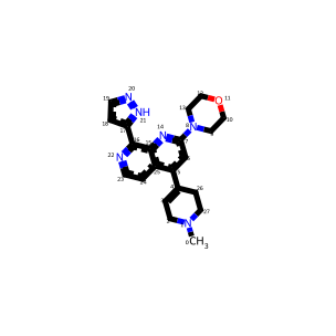 CN1CC=C(c2cc(N3CCOCC3)nc3c(-c4ccn[nH]4)nccc23)CC1